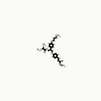 C=C(C)C(=O)OCC(COc1ccc(/C=C/C(=O)OC)cc1)c1ccc(OCCCC)cc1